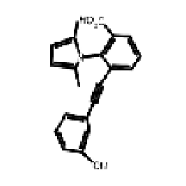 Cc1ccc(C)n1-c1c(C#Cc2cccc(O)c2)cccc1C(=O)O